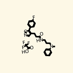 CN(CCCNC(=O)CCc1cnoc1-c1ccc(F)cc1)c1ccccc1.O=C(O)C(F)(F)F